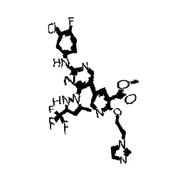 COC(=O)c1cc(-c2cnc(Nc3ccc(F)c(Cl)c3)nc2N2NC(C(F)(F)F)C=C2C)cnc1OCCn1ccnc1